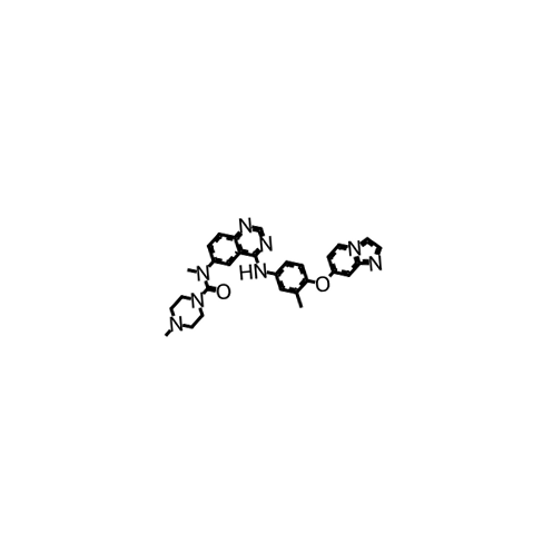 Cc1cc(Nc2ncnc3ccc(N(C)C(=O)N4CCN(C)CC4)cc23)ccc1Oc1ccn2ccnc2c1